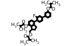 C=C(C)C(=O)OCC1CCc2c(-c3ccc(-c4cccc(OC(=O)C(=C)C)c4)cc3F)ccc(OC(=O)C(=C)C)c21